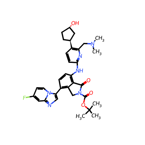 CN(C)Cc1nc(Nc2ccc(-c3cnc4cc(F)ccn34)c3c2C(=O)N(C(=O)OC(C)(C)C)C3)ccc1[C@H]1CC[C@H](O)C1